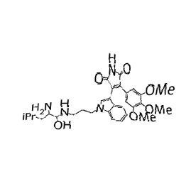 COc1cc(C2=C(c3cn(CCCNC(O)C(N)CC(C)C)c4ccccc34)C(=O)NC2=O)cc(OC)c1OC